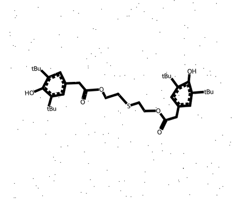 CC(C)(C)c1cc(CC(=O)OCCSCCOC(=O)Cc2cc(C(C)(C)C)c(O)c(C(C)(C)C)c2)cc(C(C)(C)C)c1O